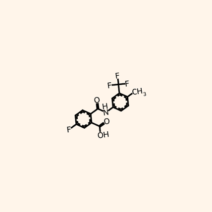 Cc1ccc(NC(=O)c2ccc(F)cc2C(=O)O)cc1C(F)(F)F